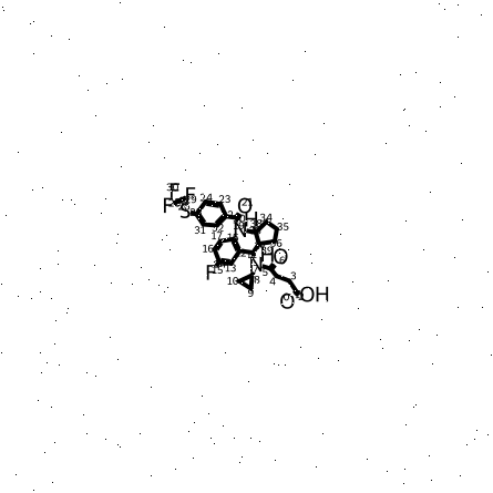 O=C(O)CCC(=O)N(C1CC1)C1c2cc(F)ccc2N(C(=O)c2ccc(SC(F)(F)F)cc2)[C@@H]2CCC[C@@H]12